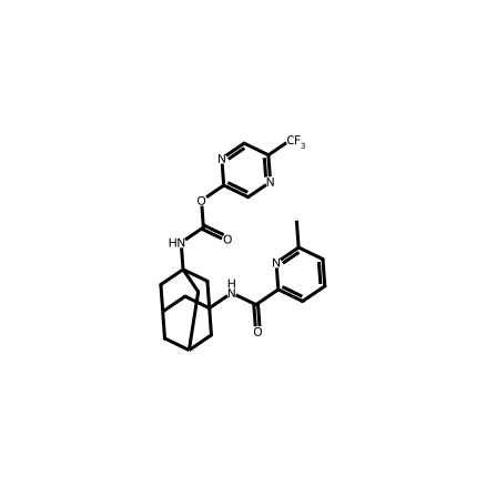 Cc1cccc(C(=O)NC23CC4CC(CC(NC(=O)Oc5cnc(C(F)(F)F)cn5)(C4)C2)C3)n1